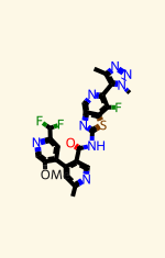 COc1cnc(C(F)F)cc1-c1cc(C)ncc1C(=O)Nc1nc2cnc(-c3c(C)nnn3C)c(F)c2s1